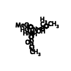 COc1ccc(NCC(O)COc2ccc(C)cc2C)c(-c2nc3cc4c(cc3[nH]2)C(=O)N(C2CCN(C)CC2)C4)c1O